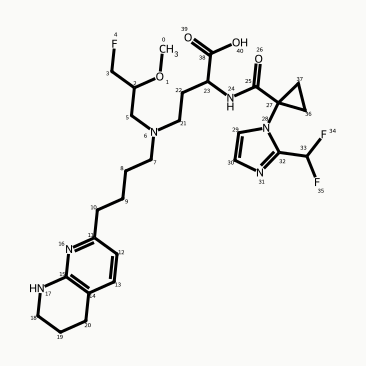 COC(CF)CN(CCCCc1ccc2c(n1)NCCC2)CCC(NC(=O)C1(n2ccnc2C(F)F)CC1)C(=O)O